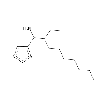 CCCCCCCC(CC)C(N)c1cncs1